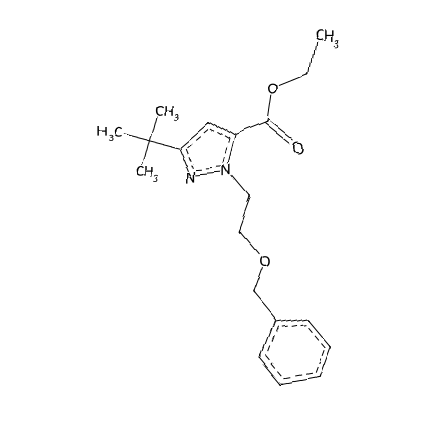 CCOC(=O)c1cc(C(C)(C)C)nn1CCOCc1ccccc1